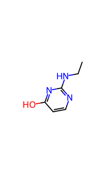 CCNc1nccc(O)n1